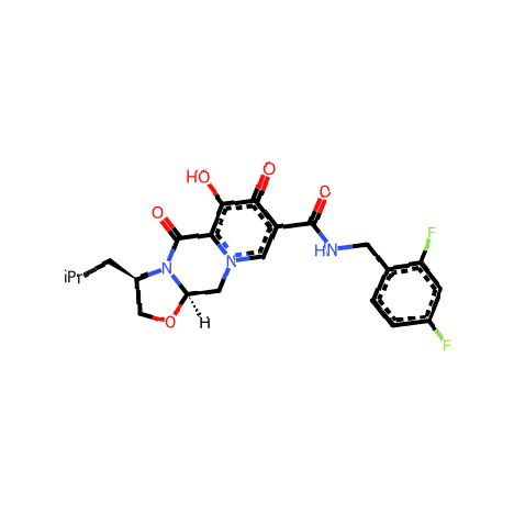 CC(C)C[C@@H]1CO[C@@H]2Cn3cc(C(=O)NCc4ccc(F)cc4F)c(=O)c(O)c3C(=O)N12